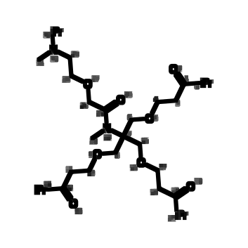 CC(C)C(=O)CCOCC(COCCC(=O)C(C)C)(COCCC(=O)C(C)C)N(C)C(=O)COCCN(C)C(C)C